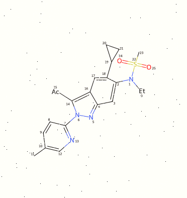 CCN(c1cc2nn(-c3ccc(C)cn3)c(C(C)=O)c2cc1C1CC1)S(C)(=O)=O